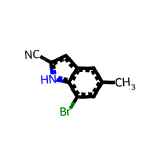 Cc1cc(Br)c2[nH]c(C#N)cc2c1